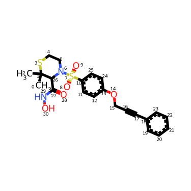 CC1(C)SCCN(S(=O)(=O)c2ccc(OCC#Cc3ccccc3)cc2)C1C(=O)NO